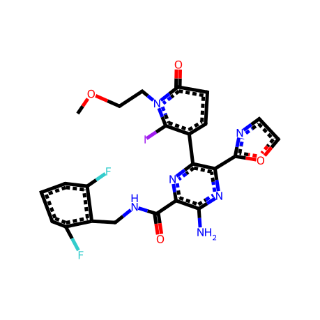 COCCn1c(I)c(-c2nc(C(=O)NCc3c(F)cccc3F)c(N)nc2-c2ncco2)ccc1=O